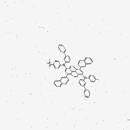 Cc1ccc(N(c2cccc(-c3ccccc3)c2)c2cc(-c3ccc4ccccc4c3)c3ccc4c(N(c5ccc([Si](C)(C)C)cc5)c5cccc(-c6ccccc6)c5)cc(-c5ccc6ccccc6c5)c5ccc2c3c54)cc1